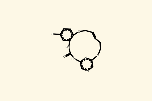 O=C1Nc2cncc(n2)OCC/C=C/COc2ccc(Cl)cc2N1